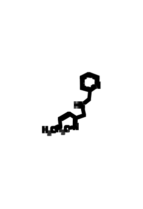 C=C/C=C\C(CNCc1ccccn1)=N/C